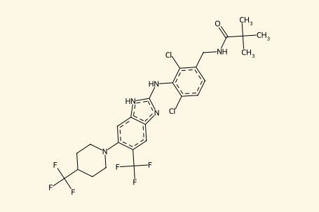 CC(C)(C)C(=O)NCc1ccc(Cl)c(Nc2nc3cc(C(F)(F)F)c(N4CCC(C(F)(F)F)CC4)cc3[nH]2)c1Cl